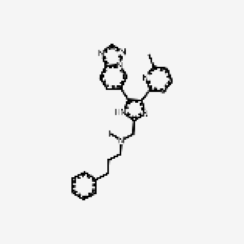 Cc1cccc(-c2nc(CN(I)CCCc3ccccc3)[nH]c2-c2ccc3ncnn3c2)n1